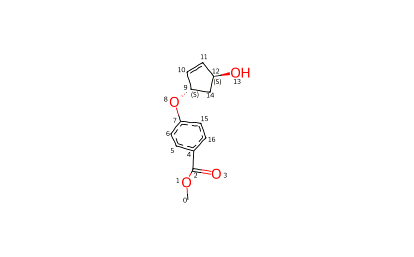 COC(=O)c1ccc(O[C@@H]2C=C[C@@H](O)C2)cc1